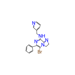 BrC1=C(c2ccccc2)N=C(NCc2cccnc2)C2=NCCN21